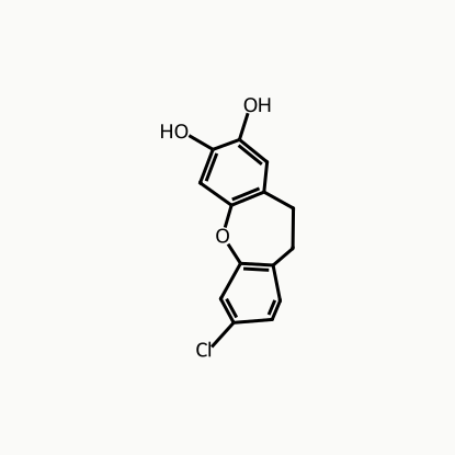 Oc1cc2c(cc1O)Oc1cc(Cl)ccc1CC2